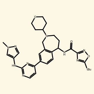 Cn1cc(Nc2nccc(-c3ccc4c(c3)CN(C3CCOCC3)CCC4NC(=O)c3noc(C(C)(C)C)n3)n2)cn1